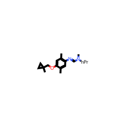 CCCN(C)/C=N/c1cc(C)c(OCC2(C)CC2)cc1C